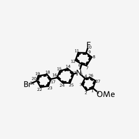 COc1ccc(N(c2ccc(F)cc2)c2ccc(-c3ccc(Br)cc3)cc2)cc1